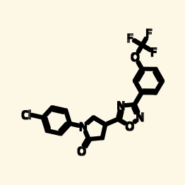 O=C1CC(c2nc(-c3cccc(OC(F)(F)F)c3)no2)CN1c1ccc(Cl)cc1